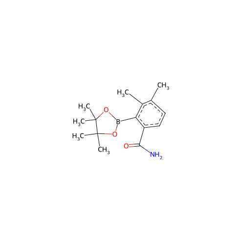 Cc1ccc(C(N)=O)c(B2OC(C)(C)C(C)(C)O2)c1C